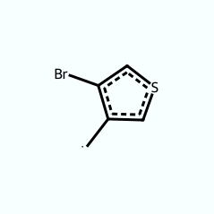 [CH2]c1cscc1Br